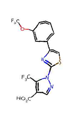 O=C(O)c1cnn(-c2nc(-c3cccc(OC(F)(F)F)c3)cs2)c1C(F)(F)F